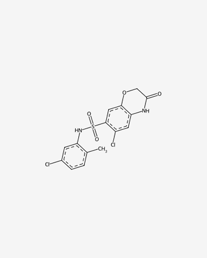 Cc1ccc(Cl)cc1NS(=O)(=O)c1cc2c(cc1Cl)NC(=O)CO2